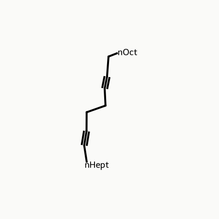 CCCCCCCC#CCCC#CCCCCCCCCC